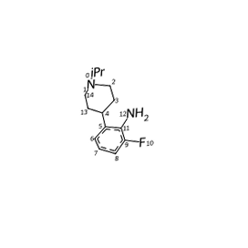 CC(C)N1CCC(c2cccc(F)c2N)CC1